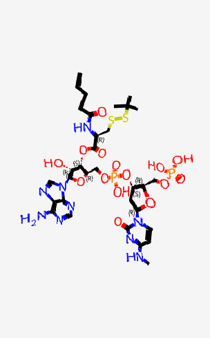 C=CCCC(=O)N[C@@H](CSSC(C)(C)C)C(=O)O[C@H]1[C@@H](O)[C@H](n2cnc3c(N)ncnc32)O[C@@H]1COP(=O)(O)O[C@H]1C[C@H](n2ccc(NC)nc2=O)O[C@@H]1COP(=O)(O)O